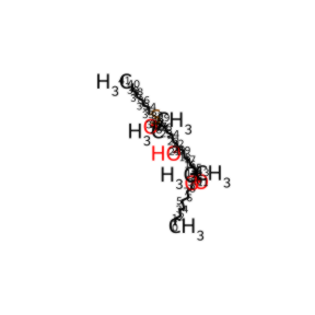 CCCCCCCCCOC(=O)C(C)(C)CCCCCC(O)CCCCCC(C)(C)C(=O)SCCCCCCCCC